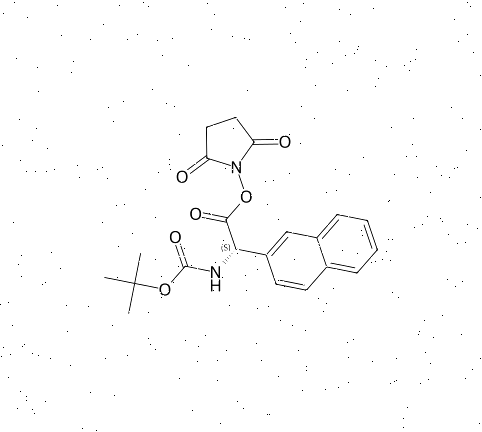 CC(C)(C)OC(=O)N[C@H](C(=O)ON1C(=O)CCC1=O)c1ccc2ccccc2c1